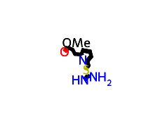 COC(=O)CCc1cccc(CSC(=N)N)n1